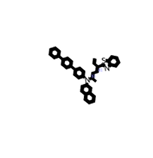 C=C/C(=C\C=C(/C)N(c1ccc(-c2ccc(-c3ccccc3)cc2)cc1)c1ccc2ccccc2c1)c1nc2ccccc2s1